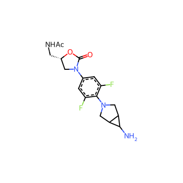 CC(=O)NC[C@H]1CN(c2cc(F)c(N3CC4C(N)C4C3)c(F)c2)C(=O)O1